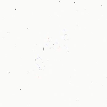 CO/N=C(\C(=O)N[C@@H]1C(=O)N2C(C(=O)[O-])=C(Cn3cc[n+]4c(CO)ccc-4c3)CS[C@@H]12)c1nc(N)sc1Cl